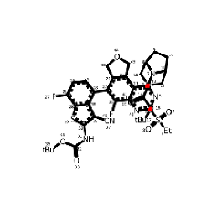 CCS(=O)(=O)c1nc(N2C3CCC2CN(C(=O)OC(C)(C)C)C3)c2c3c(c(-c4ccc(F)c5sc(NC(=O)OC(C)(C)C)c(C#N)c45)c(F)c2n1)COC3